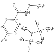 CCC(CC)(C(=O)O)C(C)P(=O)(O)O.O=C(O)CNC(=O)c1ccc(Br)cc1